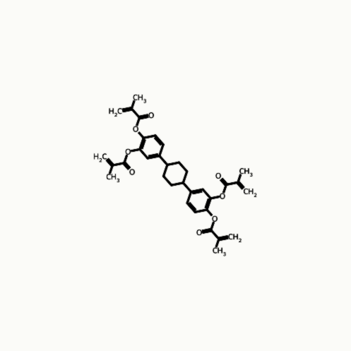 C=C(C)C(=O)Oc1ccc(C2CCC(c3ccc(OC(=O)C(=C)C)c(OC(=O)C(=C)C)c3)CC2)cc1OC(=O)C(=C)C